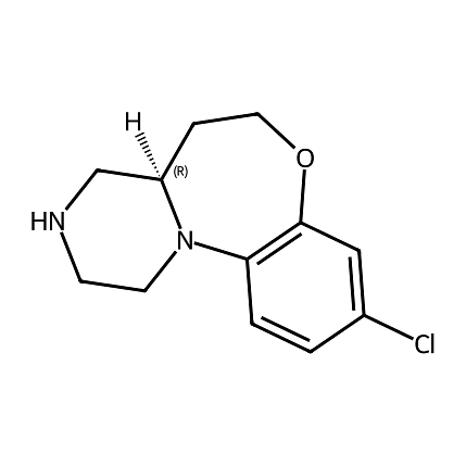 Clc1ccc2c(c1)OCC[C@@H]1CNCCN21